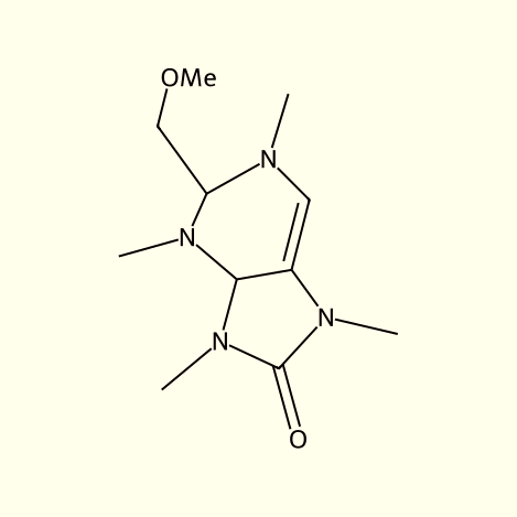 COCC1N(C)C=C2C(N(C)C(=O)N2C)N1C